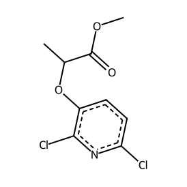 COC(=O)C(C)Oc1ccc(Cl)nc1Cl